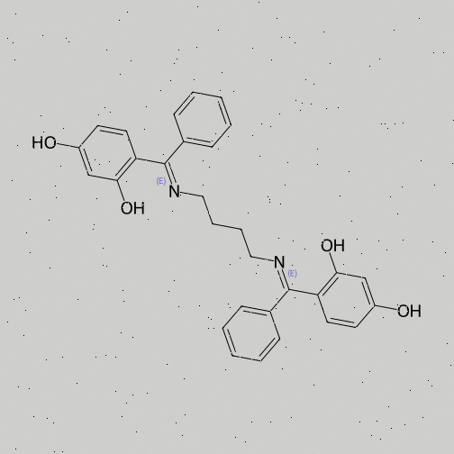 Oc1ccc(/C(=N/CCCC/N=C(\c2ccccc2)c2ccc(O)cc2O)c2ccccc2)c(O)c1